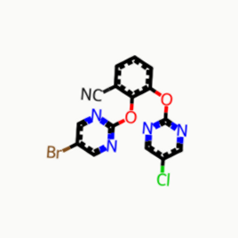 N#Cc1cccc(Oc2ncc(Cl)cn2)c1Oc1ncc(Br)cn1